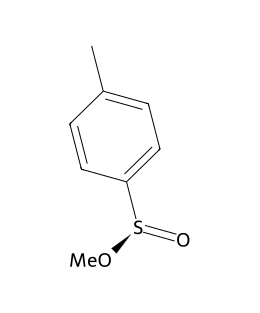 CO[S@](=O)c1ccc(C)cc1